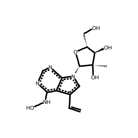 C=Cc1cn([C@@H]2O[C@H](CO)[C@@H](O)[C@@]2(C)O)c2ncnc(NO)c12